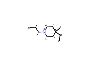 CCCN1CCC(C)(CC)CC1